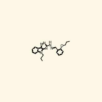 CCCOc1ccccc1/C=N/Nc1nnc2c3ccccc3n(CCC)c2n1